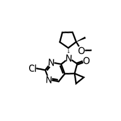 CO[C@@]1(C)CCC[C@H]1N1C(=O)C2(CC2)c2cnc(Cl)nc21